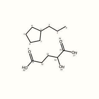 CCCC1CCCC1.O=C(O)CCC(O)C(=O)O